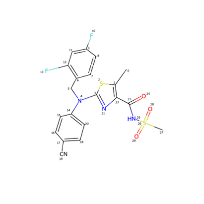 Cc1sc(N(Cc2ccc(F)cc2F)c2ccc(C#N)cc2)nc1C(=O)NS(C)(=O)=O